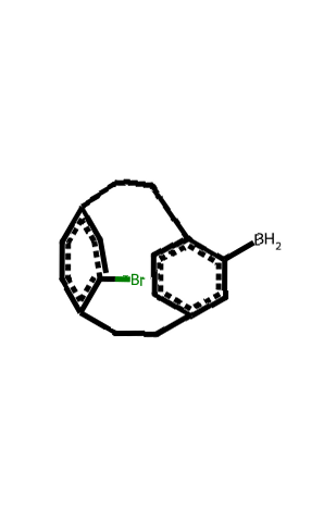 Bc1cc2ccc1CCc1ccc(c(Br)c1)CC2